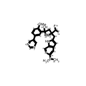 COc1ccc(-c2cncnc2)cc1C(C)(C)CC(O)(Cc1cc2cc(N(C)C)ncc2[nH]1)C(F)F